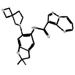 CC1(C)Cc2cc(NC(=O)c3cnn4cccnc34)c(N3CCC4(COC4)C3)cc2O1